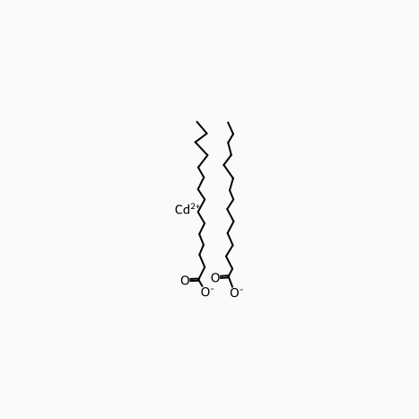 CCCCCCCCCCCCCCC(=O)[O-].CCCCCCCCCCCCCCC(=O)[O-].[Cd+2]